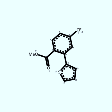 COC(=O)c1ccc(C(F)(F)F)cc1-c1cccs1